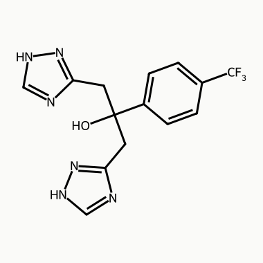 OC(Cc1nc[nH]n1)(Cc1nc[nH]n1)c1ccc(C(F)(F)F)cc1